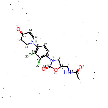 CC(=O)NCC1CN(c2ccc(N3C=CC(=O)CC3)c(F)c2F)C(=O)O1